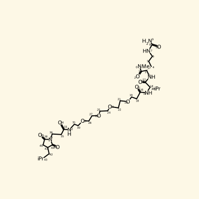 CNC(=O)[C@H](CCCNC(N)=O)NC(=O)[C@@H](NC(=O)CCOCCOCCOCCOCCNC(=O)CCN1C(=O)CC(CC(C)C)C1=O)C(C)C